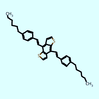 CCCCCCc1ccc(/C=C/c2c3ccsc3c(/C=C/c3ccc(CCCCCC)cc3)c3ccsc23)cc1